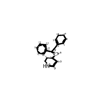 C1=CC(C(OC2CCNCC2)c2ccccc2)=CCC1